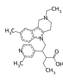 CCC(C(=O)O)C(Cn1c2c(c3cc(C)ccc31)CN(CC)CC2)c1ccnc(C)c1